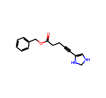 O=C(CCC#CC1=CNCN1)OCc1ccccc1